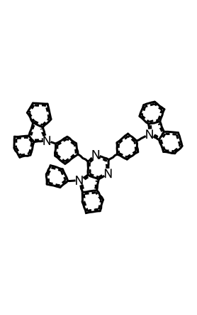 c1ccc(-n2c3ccccc3c3nc(-c4ccc(-n5c6ccccc6c6ccccc65)cc4)nc(-c4ccc(-n5c6ccccc6c6ccccc65)cc4)c32)cc1